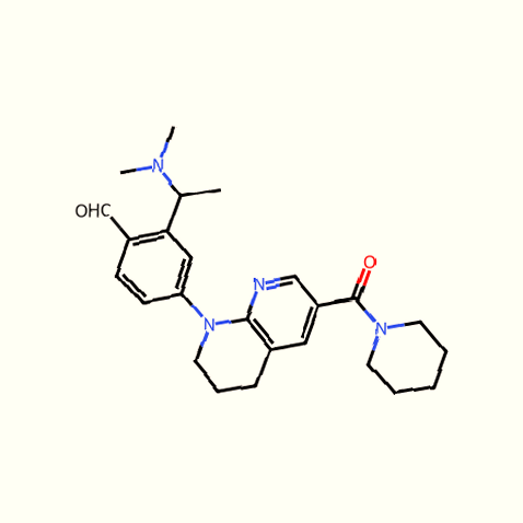 CC(c1cc(N2CCCc3cc(C(=O)N4CCCCC4)cnc32)ccc1C=O)N(C)C